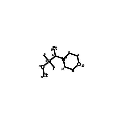 CCO[Si](C)(C)C(CC)N1CCOCC1